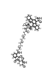 CO[C@@H]1C(N(C)C(=O)CCOCCOCCOCCNc2cccc3c2C(=O)N(C2CCC(=O)NC2=O)C3=O)C[C@H]2O[C@]1(C)n1c3ccccc3c3c4c(c5c6ccccc6n2c5c31)C(=O)NC4